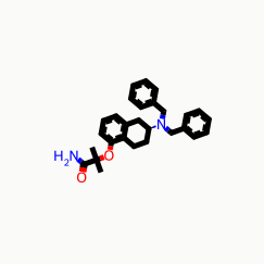 CC(C)(Oc1cccc2c1CC[C@@H](N(Cc1ccccc1)Cc1ccccc1)C2)C(N)=O